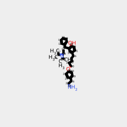 CC(C)N(CC[C@H](c1ccccc1)c1cc(CCCCCOc2ccc(CCN)cc2)ccc1O)C(C)C